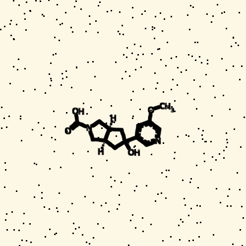 COc1cncc(C2(O)C[C@H]3CN(C(=O)O)C[C@H]3C2)c1